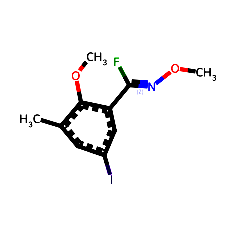 CO/N=C(\F)c1cc(I)cc(C)c1OC